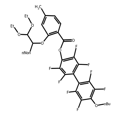 CCCCCCCCCC(Oc1cc(C)ccc1C(=O)Oc1c(F)c(F)c(-c2c(F)c(F)c(OCCCC)c(F)c2F)c(F)c1F)C(OCC)OCC